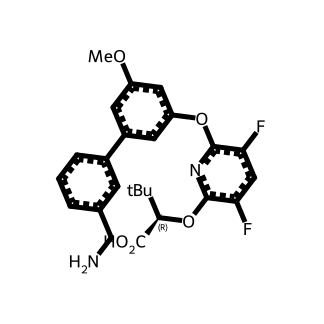 COc1cc(Oc2nc(O[C@@H](C(=O)O)C(C)(C)C)c(F)cc2F)cc(-c2cccc(CN)c2)c1